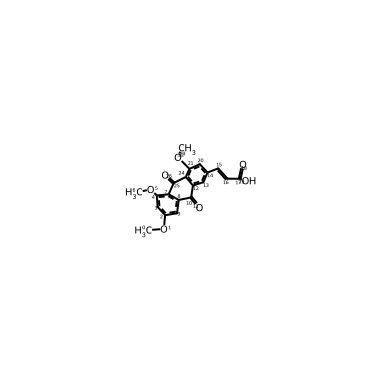 COc1cc(OC)c2c(c1)C(=O)c1cc(C=CC(=O)O)cc(OC)c1C2=O